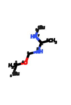 CC(NCO[SiH2]C(C)(C)C)NC(C)(C)C